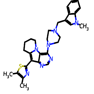 Cc1nc(-c2c3n(c4c(N5CCN(Cc6cn(C)c7ccccc67)CC5)ncnc24)CCCC3)sc1C